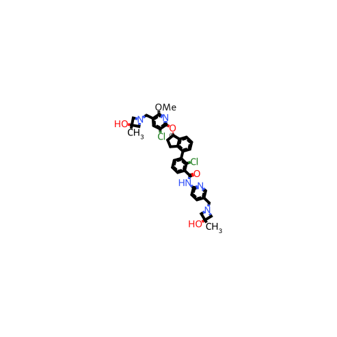 COc1nc(O[C@H]2CCc3c(-c4cccc(C(=O)Nc5ccc(CN6CC(C)(O)C6)cn5)c4Cl)cccc32)c(Cl)cc1CN1CC(C)(O)C1